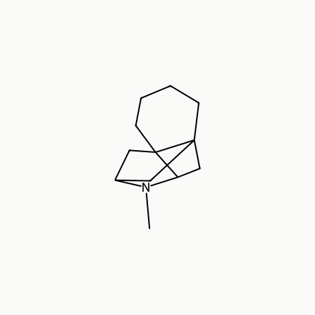 CN1C2CC34CCCCC3(C2)C1C4